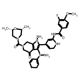 COc1ccc(C(=O)NC2=CC(c3c(N(N)C4=CCCC=C4)c4c(n3N)CN(C(=O)N3C[C@@H](C)O[C@@H](C)C3)CC4=O)=CCN2)cc1F